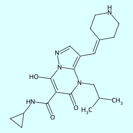 CC(C)Cn1c(=O)c(C(=O)NC2CC2)c(O)n2ncc(C=C3CCNCC3)c12